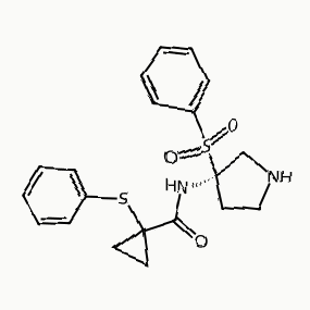 O=C(N[C@@]1(S(=O)(=O)c2ccccc2)CCNC1)C1(Sc2ccccc2)CC1